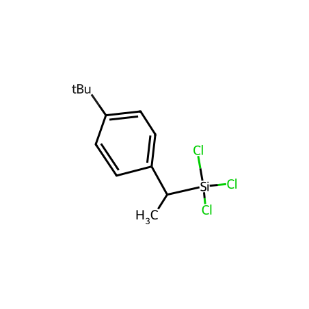 CC(c1ccc(C(C)(C)C)cc1)[Si](Cl)(Cl)Cl